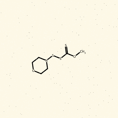 COC(=S)SSN1CCOCC1